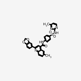 Cc1ccc2nc(-c3ccc4c(c3)OCO4)cc(C(=O)Nc3ccc(S(=O)(=O)Nc4nccc(C)n4)cc3)c2c1